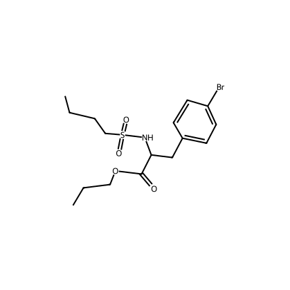 CCCCS(=O)(=O)NC(Cc1ccc(Br)cc1)C(=O)OCCC